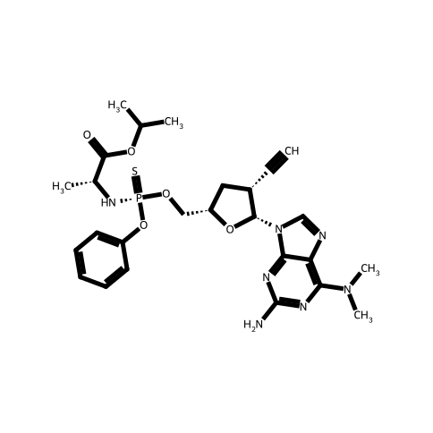 C#C[C@H]1C[C@@H](CO[P@@](=S)(N[C@H](C)C(=O)OC(C)C)Oc2ccccc2)O[C@H]1n1cnc2c(N(C)C)nc(N)nc21